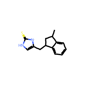 CC1CC(CC2=CNC(=S)[N]2)c2ccccc21